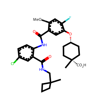 COc1cc(F)c(O[C@H]2CC[C@@](C)(C(=O)O)CC2)cc1C(=O)Nc1ccc(Cl)cc1C(=O)NCC1(C)CCC1